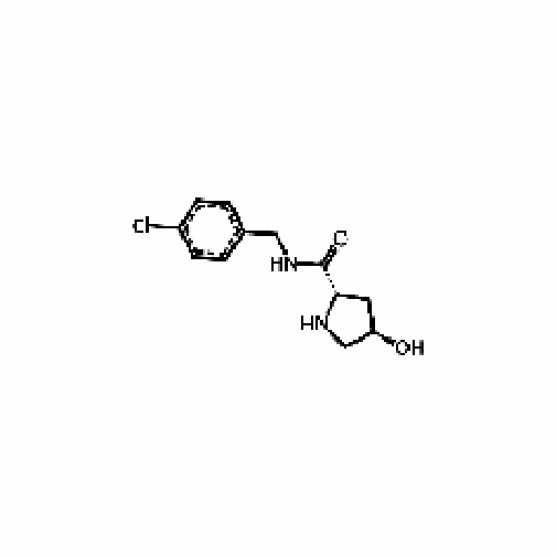 O=C(NCc1ccc(Cl)cc1)[C@@H]1C[C@@H](O)CN1